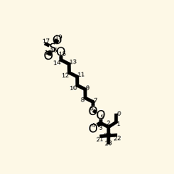 CCC(C(=O)OOCCCCCCCCOS(C)(=O)=O)C(C)(C)C